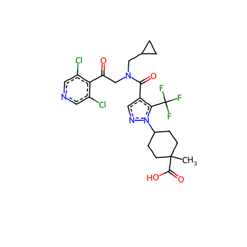 CC1(C(=O)O)CCC(n2ncc(C(=O)N(CC(=O)c3c(Cl)cncc3Cl)CC3CC3)c2C(F)(F)F)CC1